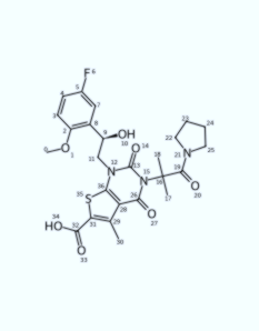 COc1ccc(F)cc1[C@@H](O)Cn1c(=O)n(C(C)(C)C(=O)N2CCCC2)c(=O)c2c(C)c(C(=O)O)sc21